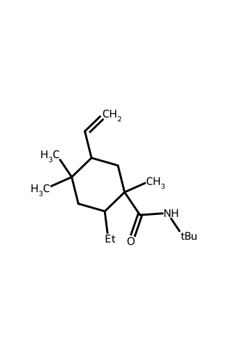 C=CC1CC(C)(C(=O)NC(C)(C)C)C(CC)CC1(C)C